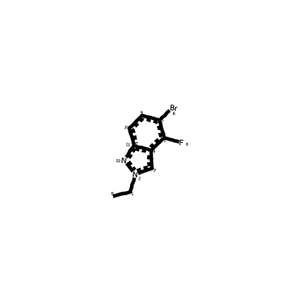 CCn1cc2c(F)c(Br)ccc2n1